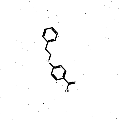 O=C(O)c1ccc(SCCc2ccccc2)cc1